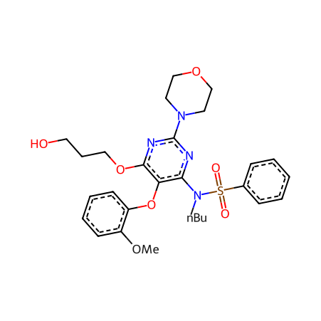 CCCCN(c1nc(N2CCOCC2)nc(OCCCO)c1Oc1ccccc1OC)S(=O)(=O)c1ccccc1